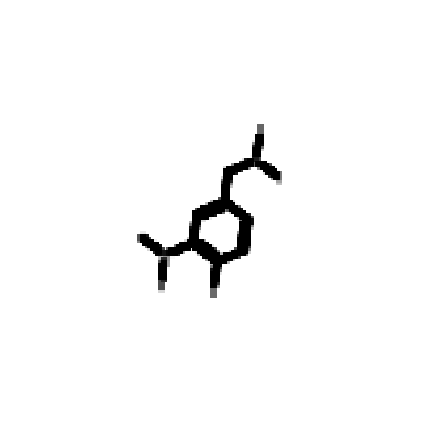 CN(I)c1cc(CN(I)I)ccc1I